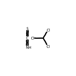 ClC(Cl)Cl.N=C=S